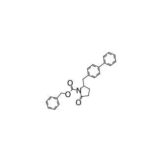 O=C1CCC(Cc2ccc(-c3ccccc3)cc2)N1C(=O)OCc1ccccc1